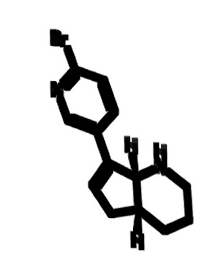 Brc1ccc(C2=CC[C@H]3CCCN[C@@H]23)cn1